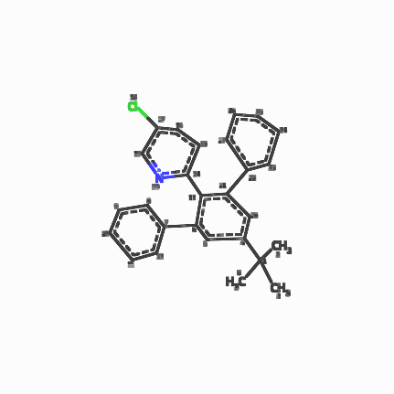 CC(C)(C)c1cc(-c2ccccc2)c(-c2ccc(Cl)cn2)c(-c2ccccc2)c1